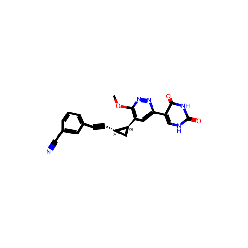 COc1nnc(-c2c[nH]c(=O)[nH]c2=O)cc1[C@H]1C[C@@H]1C#Cc1cccc(C#N)c1